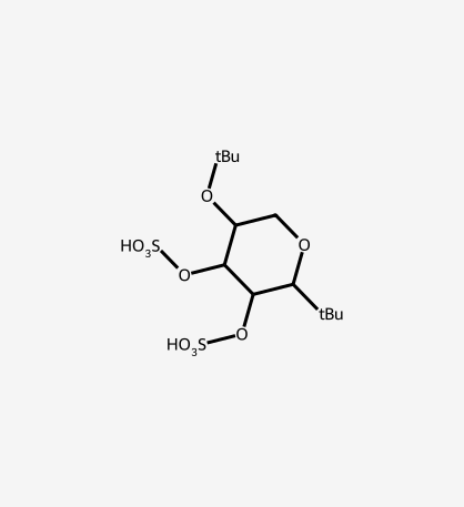 CC(C)(C)OC1COC(C(C)(C)C)C(OS(=O)(=O)O)C1OS(=O)(=O)O